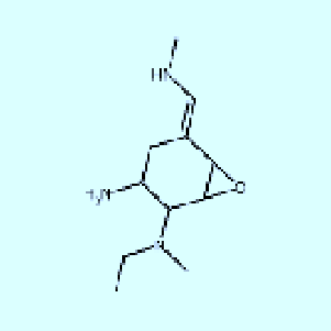 CCN(C)C1C(N)C/C(=C\NC)C2OC21